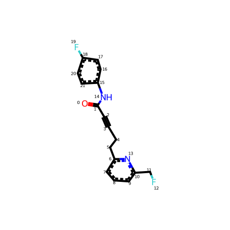 O=C(C#CCCc1cccc(CF)n1)Nc1ccc(F)cc1